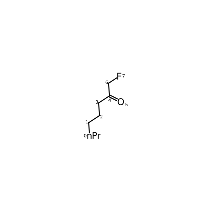 [CH2]CCCCCC(=O)CF